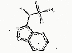 CCC(c1noc2ccccc12)S(N)(=O)=O